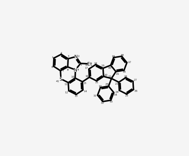 CCc1nc2cccc3c2n1-c1c(cccc1-c1ccc2c(c1)C(c1ccccc1)(c1ccccc1)c1ccccc1-2)S3